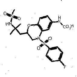 CC(C)(CC1CN(S(=O)(=O)c2ccc(F)cc2)c2cc(NC(=O)O)ccc2O1)NS(C)(=O)=O